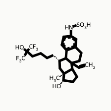 C=CC12CCc3cc(NS(=O)(=O)O)ccc3C1[C@@H](CCCCC(O)(C(F)(F)F)C(F)(F)F)C[C@@]1(C)C2CC[C@@H]1O